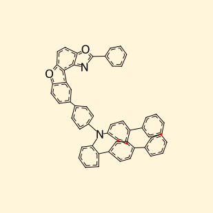 c1ccc(-c2ccc(-c3ccccc3N(c3ccc(-c4ccccc4)cc3)c3ccc(-c4ccc5oc6ccc7oc(-c8ccccc8)nc7c6c5c4)cc3)cc2)cc1